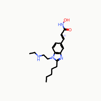 CCCCCc1nc2cc(/C=C/C(=O)NO)ccc2n1CCNCC